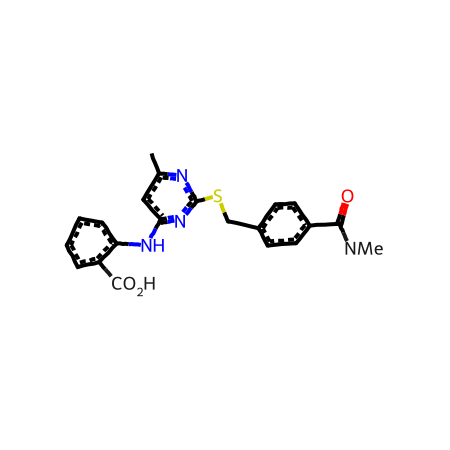 CNC(=O)c1ccc(CSc2nc(C)cc(Nc3ccccc3C(=O)O)n2)cc1